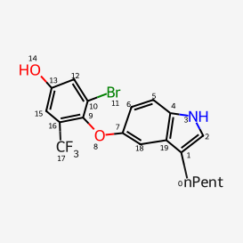 CCCCCc1c[nH]c2ccc(Oc3c(Br)cc(O)cc3C(F)(F)F)cc12